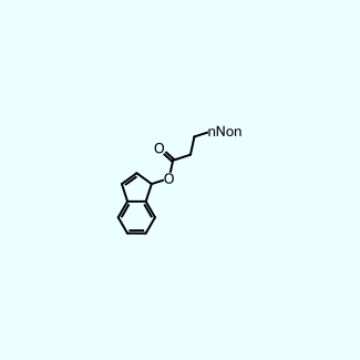 CCCCCCCCCCCC(=O)OC1C=Cc2ccccc21